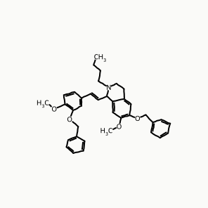 CCCCN1CCc2cc(OCc3ccccc3)c(OC)cc2C1/C=C/c1ccc(OC)c(OCc2ccccc2)c1